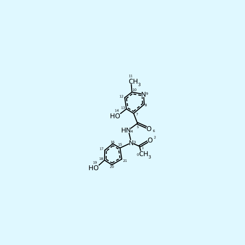 CC(=O)N(NC(=O)c1cnc(C)cc1O)c1ccc(O)cc1